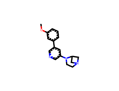 COc1cccc(-c2cncc(N3CCN4CC3C4)c2)c1